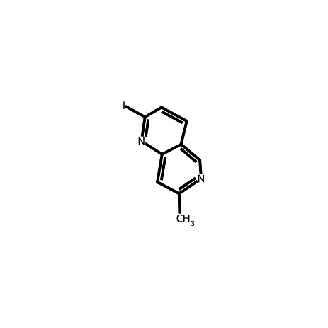 Cc1cc2nc(I)ccc2cn1